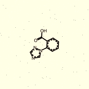 O=C(O)c1ccccc1-n1cncn1